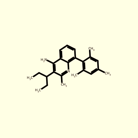 CCC(CC)c1c(C)nc2c(-c3c(C)cc(C)cc3C)cccc2c1N